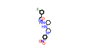 O=[N+]([O-])c1ccc(N2CCCC(N[C@@H]3CCCC[C@H]3Nc3ncc(-c4cccc(F)c4)o3)C2)cc1